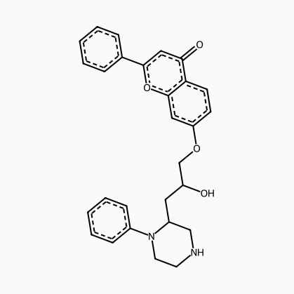 O=c1cc(-c2ccccc2)oc2cc(OCC(O)CC3CNCCN3c3ccccc3)ccc12